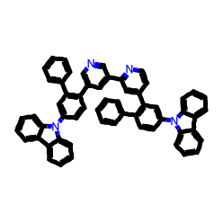 c1ccc(-c2ccc(-n3c4ccccc4c4ccccc43)cc2-c2ccnc(-c3cncc(-c4ccc(-n5c6ccccc6c6ccccc65)cc4-c4ccccc4)c3)c2)cc1